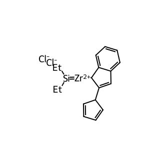 CC[Si](CC)=[Zr+2][CH]1C(C2C=CC=C2)=Cc2ccccc21.[Cl-].[Cl-]